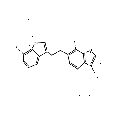 Cc1coc2c(C)c(CCc3coc4c(F)cccc34)ccc12